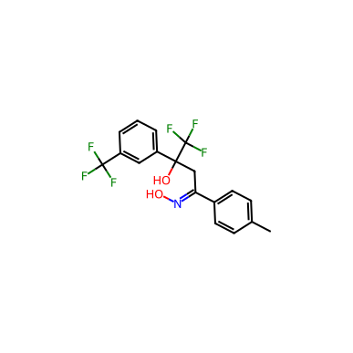 Cc1ccc(C(CC(O)(c2cccc(C(F)(F)F)c2)C(F)(F)F)=NO)cc1